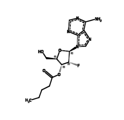 CCCCC(=O)O[C@H]1[C@@H](F)[C@H](n2cnc3c(N)ncnc32)O[C@@H]1CO